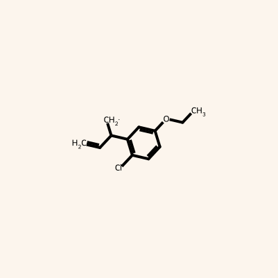 [CH2]C(C=C)c1cc(OCC)ccc1Cl